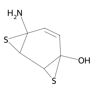 NC12C=CC3(O)SC3C1S2